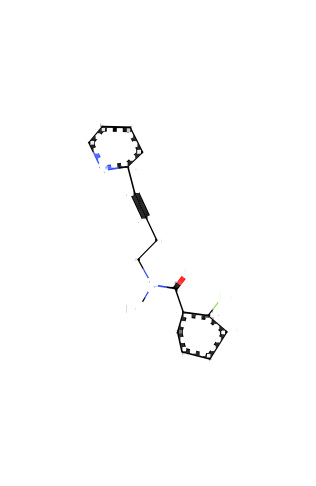 CN(CCC#Cc1ccccn1)C(=O)c1ccccc1F